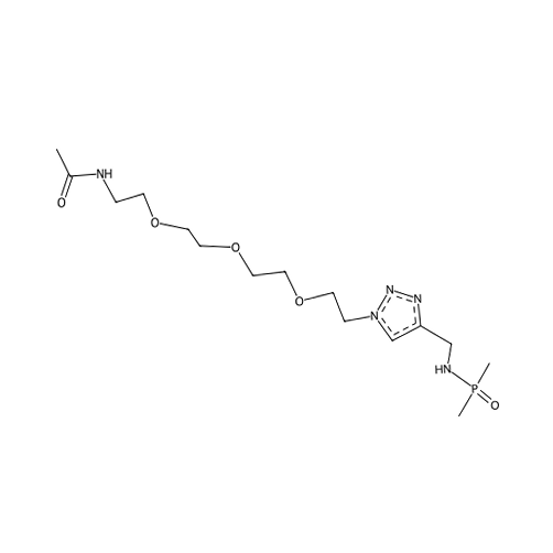 CC(=O)NCCOCCOCCOCCn1cc(CNP(C)(C)=O)nn1